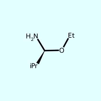 CCO[C@H](N)C(C)C